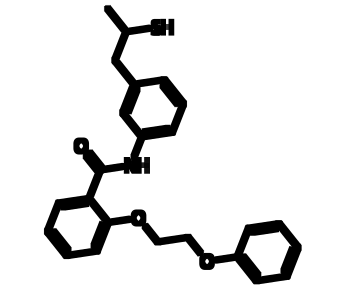 CC(S)Cc1cccc(NC(=O)c2ccccc2OCCOc2ccccc2)c1